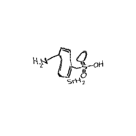 Nc1ccc(S(=O)(=O)O)cc1.[SrH2]